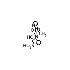 Cc1nn(-c2ccccn2)c(O)c1N=Nc1c(O)cc(S(=O)(=O)O)c2ccccc12